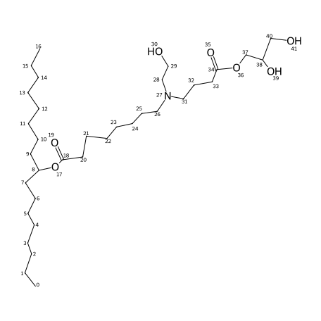 CCCCCCCCC(CCCCCCCC)OC(=O)CCCCCCCN(CCO)CCCC(=O)OCC(O)CO